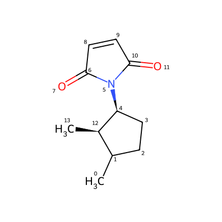 CC1CC[C@H](N2C(=O)C=CC2=O)[C@@H]1C